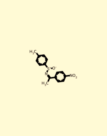 CC(=N[S+]([O-])c1ccc(C)cc1)c1ccc([N+](=O)[O-])cc1